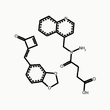 NN(Cc1ccnc2ccccc12)C(=O)CCC(=O)O.O=C1C=CC1=Cc1ccc2c(c1)OCO2